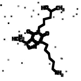 CC(O)CCCCn1c(=O)c2c(ncn2C)n(CCCCCCN)c1=O.Cl